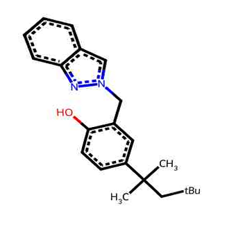 CC(C)(C)CC(C)(C)c1ccc(O)c(Cn2cc3ccccc3n2)c1